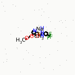 CCOCCOc1ccnc(C[S+]([O-])c2nc3cc(C(F)(F)F)ccc3[nH]2)c1C.[Na]